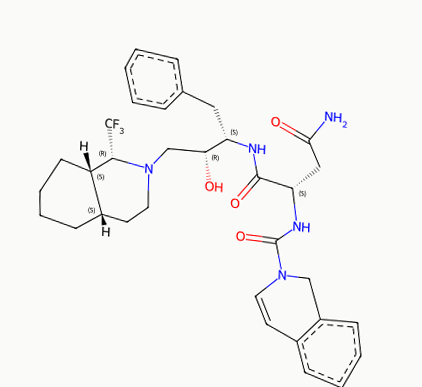 NC(=O)C[C@H](NC(=O)N1C=Cc2ccccc2C1)C(=O)N[C@@H](Cc1ccccc1)[C@H](O)CN1CC[C@@H]2CCCC[C@@H]2[C@@H]1C(F)(F)F